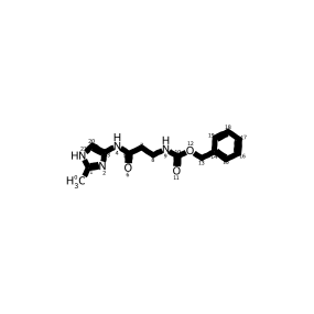 Cc1nc(NC(=O)CCNC(=O)OCc2ccccc2)c[nH]1